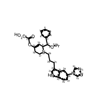 CC(C)OC(c1ccccc1)C1C=C(OC(=O)C(=O)O)CCN1CCCc1c[nH]c2ccc(-n3cnnc3)cc12